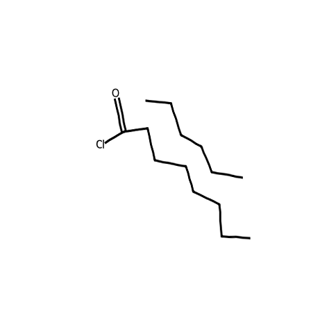 CCCCCC.CCCCCCCC(=O)Cl